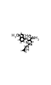 Cn1ccc2c(Nc3nc(NCC4CC4)ncc3C(N)=O)cccc21